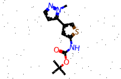 Cn1nccc1-c1csc(NC(=O)OC(C)(C)C)c1